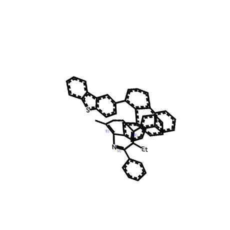 CCC1=C(\c2ccccc2)CC/C(C)=C(c2ccc3c4ccccc4c4cccc(-c5ccc6sc7ccccc7c6c5)c4c3c2)/N=C\1c1ccccc1